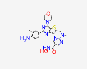 Cc1cc(-c2nc(N3CCOCC3)c3sc(CN(C)c4ncc(C(=O)NO)cn4)cc3n2)ccc1N